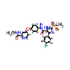 CNC(=O)c1cc(Oc2ccc(NC(=O)c3[nH]c(S(C)(=O)=O)nc3-c3ccc(F)cc3)cc2)ccn1